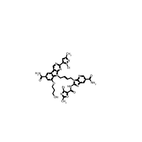 CCc1nc(C)oc1C(=O)Nc1nc2cc(C(N)=O)cnc2n1C/C=C/Cn1c2nc(-c3cc(C)nn3CC)ncc2c2cc(C(N)=O)cc(OCCCO)c21